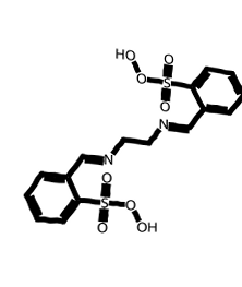 O=S(=O)(OO)c1ccccc1C=NCCN=Cc1ccccc1S(=O)(=O)OO